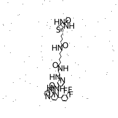 O=C(CCCC[C@@H]1SCC2NC(=O)NC21)NCCCCCC(=O)NCCNc1cc(NC(=O)N2c3nc(-c4cccc(C(F)(F)F)c4)ccc3N3CC[C@H]2C3)ccn1